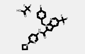 O=C(Nc1ccc(N2CCC2)nc1)c1cc2cc(C(F)(F)F)cnc2n1Cc1ccc(F)cc1.O=C(O)C(F)(F)F